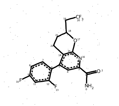 NC(=O)c1cc(-c2ccc(F)cc2F)c2c(n1)OC(CC(F)(F)F)CC2